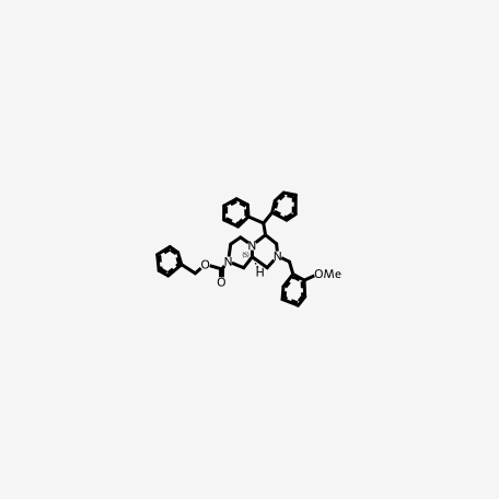 COc1ccccc1CN1CC(C(c2ccccc2)c2ccccc2)N2CCN(C(=O)OCc3ccccc3)C[C@@H]2C1